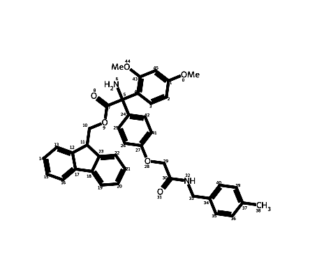 COc1ccc(C(N)(C(=O)OCC2c3ccccc3-c3ccccc32)c2ccc(OCC(=O)NCc3ccc(C)cc3)cc2)c(OC)c1